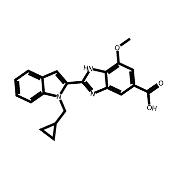 COc1cc(C(=O)O)cc2nc(-c3cc4ccccc4n3CC3CC3)[nH]c12